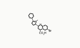 Cn1c(-c2ccccc2)ccc1-c1cc(C(=O)O)c2cc(Br)ccc2n1